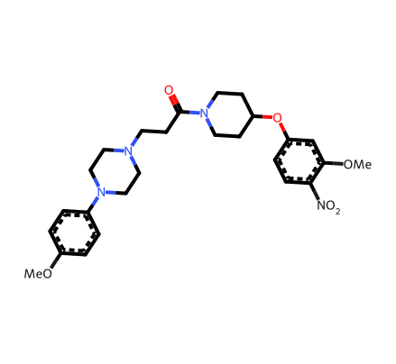 COc1ccc(N2CCN(CCC(=O)N3CCC(Oc4ccc([N+](=O)[O-])c(OC)c4)CC3)CC2)cc1